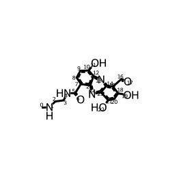 CNCCNC(=O)c1ccc(O)c2nc3c(C=O)c(O)cc(O)c3nc12